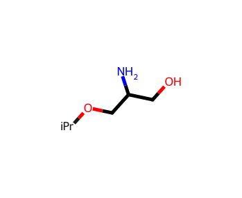 CC(C)OCC(N)CO